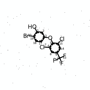 Oc1cc(Oc2c(Cl)cc(C(F)(F)F)cc2Cl)ccc1Br